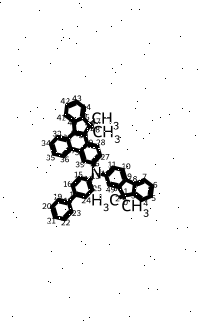 CC1(C)c2ccccc2-c2ccc(N(c3ccc(-c4ccccc4)cc3)c3ccc4c5c(c6ccccc6c4c3)-c3ccccc3C5(C)C)cc21